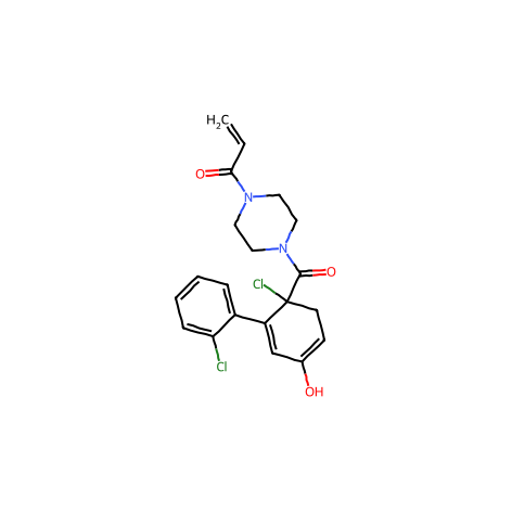 C=CC(=O)N1CCN(C(=O)C2(Cl)CC=C(O)C=C2c2ccccc2Cl)CC1